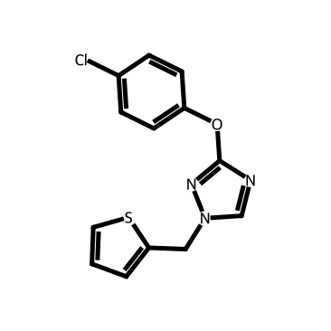 Clc1ccc(Oc2ncn(Cc3cccs3)n2)cc1